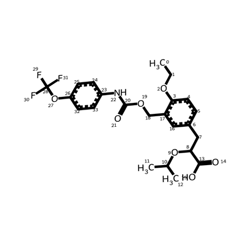 CCOc1ccc(CC(OC(C)C)C(=O)O)cc1COC(=O)Nc1ccc(OC(F)(F)F)cc1